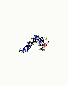 CCN1CCN(c2ccc(-c3cc4c(N5CCN(C(=O)C6CC6)C[C@@H]5C)ccnn4c3)cc2)CC1